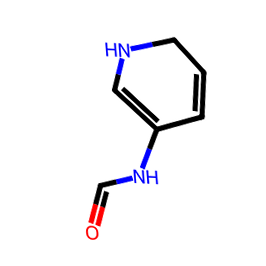 O=CNC1=CNCC=C1